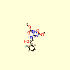 COC(=O)N=C(NCC(O)c1ccccc1F)NC(=O)OC